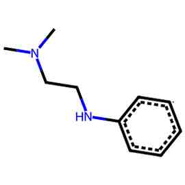 CN(C)CCNc1c[c]ccc1